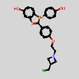 Oc1ccc([SH]2c3ccc(O)cc3OC2c2ccc(OCCN3CC(CF)C3)cc2)cc1